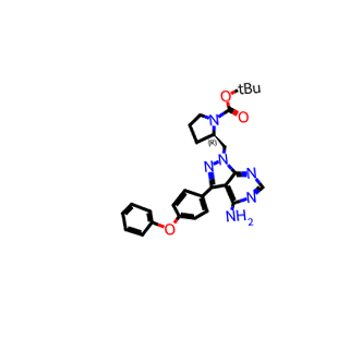 CC(C)(C)OC(=O)N1CCC[C@@H]1Cn1nc(-c2ccc(Oc3ccccc3)cc2)c2c(N)ncnc21